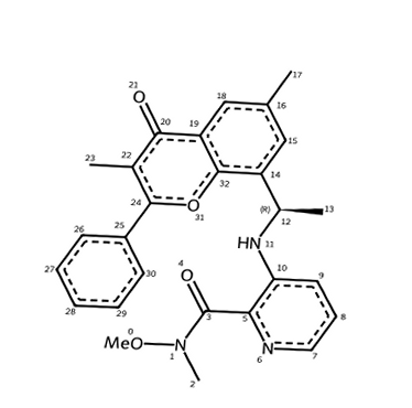 CON(C)C(=O)c1ncccc1N[C@H](C)c1cc(C)cc2c(=O)c(C)c(-c3ccccc3)oc12